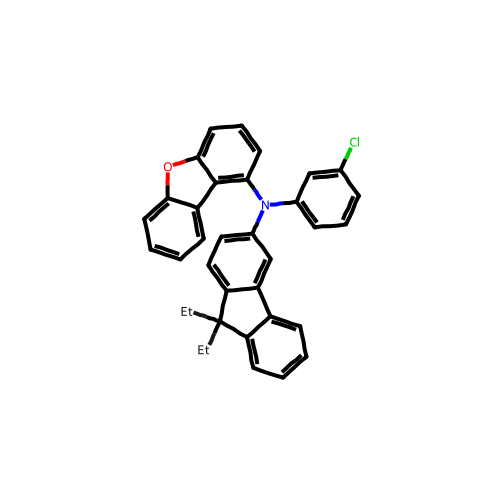 CCC1(CC)c2ccccc2-c2cc(N(c3cccc(Cl)c3)c3cccc4oc5ccccc5c34)ccc21